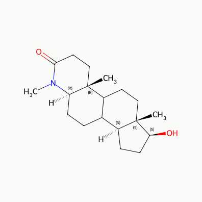 CN1C(=O)CC[C@]2(C)C3CC[C@]4(C)[C@@H](O)CC[C@H]4C3CC[C@@H]12